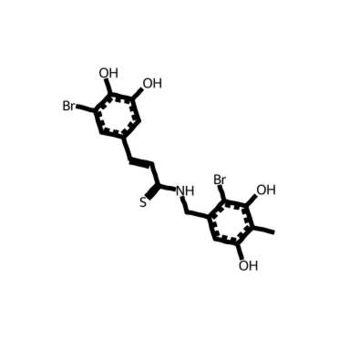 Cc1c(O)cc(CNC(=S)/C=C/c2cc(O)c(O)c(Br)c2)c(Br)c1O